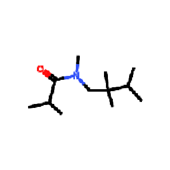 CC(C)C(=O)N(C)CC(C)(C)C(C)C